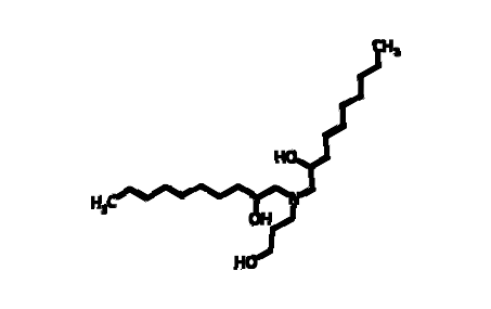 CCCCCCCCC(O)CN(CCCO)CC(O)CCCCCCCC